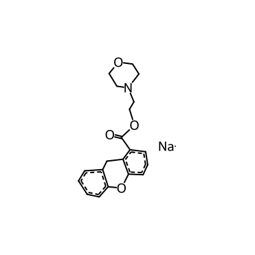 O=C(OCCN1CCOCC1)c1cccc2c1Cc1ccccc1O2.[Na]